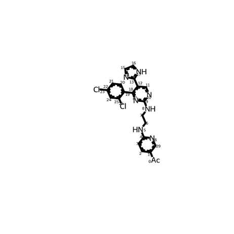 CC(=O)c1ccc(NCCNc2ncc(-c3ncc[nH]3)c(-c3ccc(Cl)cc3Cl)n2)nc1